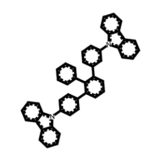 c1ccc(-c2c(-c3ccc(-n4c5ccccc5c5ccccc54)cc3)cccc2-c2cccc(-n3c4ccccc4c4ccccc43)c2)cc1